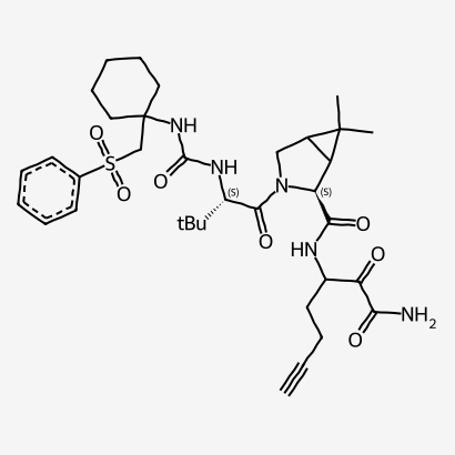 C#CCCC(NC(=O)[C@@H]1C2C(CN1C(=O)[C@@H](NC(=O)NC1(CS(=O)(=O)c3ccccc3)CCCCC1)C(C)(C)C)C2(C)C)C(=O)C(N)=O